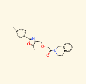 Cc1ccc(-c2nc(COCC(=O)N3CCc4ccccc4C3)c(C)o2)cc1